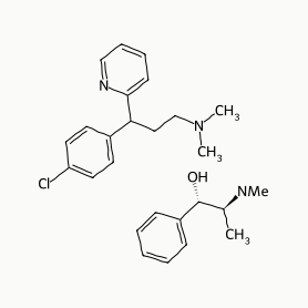 CN(C)CCC(c1ccc(Cl)cc1)c1ccccn1.CN[C@@H](C)[C@@H](O)c1ccccc1